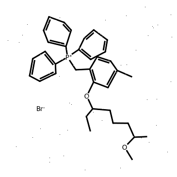 CCC(CCCC(C)OC)Oc1cc(C)ccc1C[P+](c1ccccc1)(c1ccccc1)c1ccccc1.[Br-]